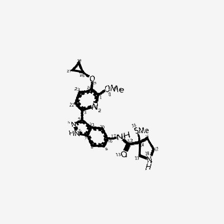 COc1nc(-c2n[nH]c3ccc(NC(=O)C4(SC)CCNC4)cc23)ccc1OC1CC1